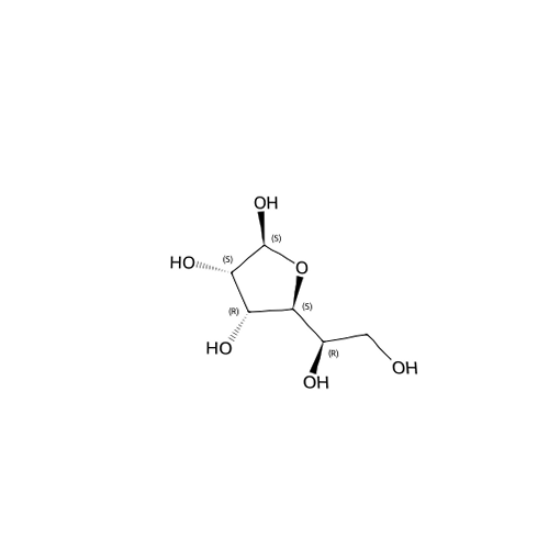 OC[C@@H](O)[C@@H]1O[C@H](O)[C@@H](O)[C@H]1O